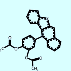 CC(=O)Oc1ccc(-c2c3ccccc3cc3sc4ccccc4c23)cc1OC(C)=O